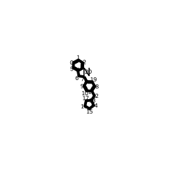 c1ccc2c(c1)CC(c1ccc(CC3CCCC3)cc1)=N2